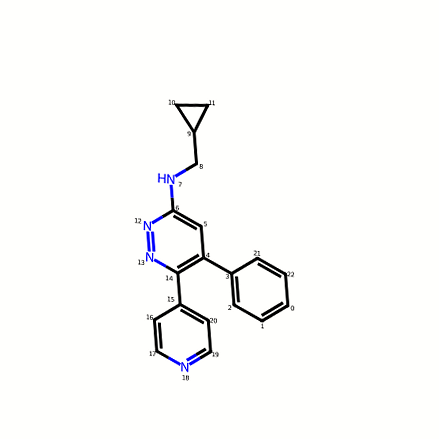 c1ccc(-c2cc(NCC3CC3)nnc2-c2ccncc2)cc1